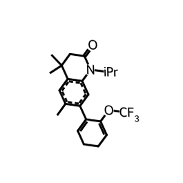 Cc1cc2c(cc1C1=CCCC=C1OC(F)(F)F)N(C(C)C)C(=O)CC2(C)C